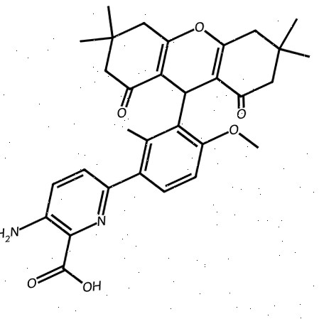 COc1ccc(-c2ccc(N)c(C(=O)O)n2)c(C)c1C1C2=C(CC(C)(C)CC2=O)OC2=C1C(=O)CC(C)(C)C2